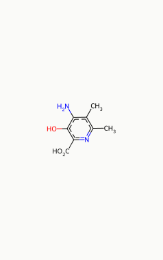 Cc1nc(C(=O)O)c(O)c(N)c1C